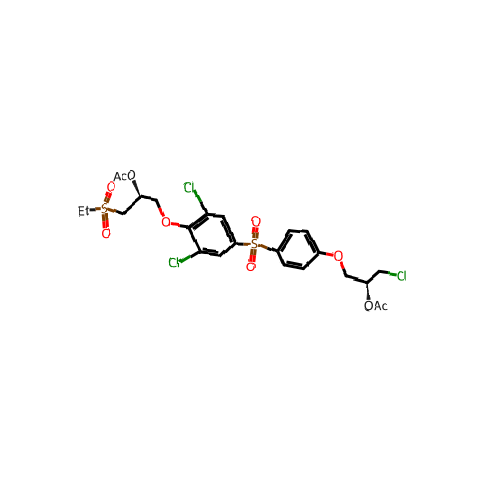 CCS(=O)(=O)C[C@H](COc1c(Cl)cc(S(=O)(=O)c2ccc(OC[C@@H](CCl)OC(C)=O)cc2)cc1Cl)OC(C)=O